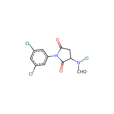 O=CN(Cl)C1CC(=O)N(c2cc(Cl)cc(Cl)c2)C1=O